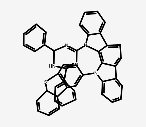 C1=CC2Sc3ccc(-n4c5ccccc5c5ccc6c7ccccc7n(C7=NC(c8ccccc8)NC(c8ccccc8)=N7)c6c54)cc3C2C=C1